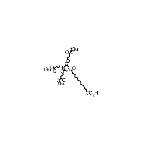 CC(C)(C)OC(=O)CCOC[C@H]1CN(C(=O)CCCCCCCCCCC(=O)O)C[C@@H](OCCC(=O)OC(C)(C)C)[C@@H]1OCCC(=O)OC(C)(C)C